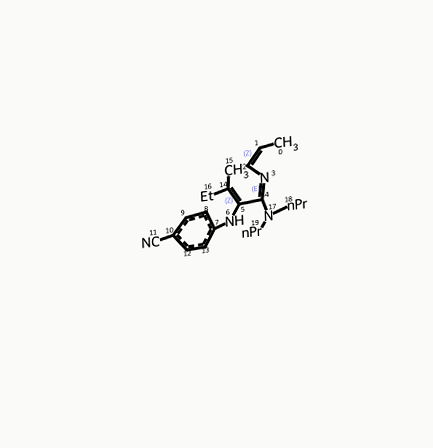 C\C=C/N=C(\C(Nc1ccc(C#N)cc1)=C(/C)CC)N(CCC)CCC